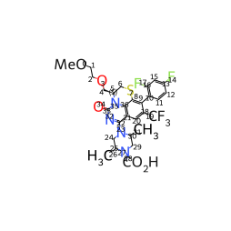 COCCOC[C@H]1CSc2c(-c3ccc(F)cc3F)c(C(F)(F)F)cc3c(N4CC(C)N(C(=O)O)CC4C)nc(=O)n1c23